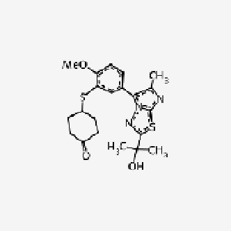 COc1ccc(-c2c(C)nc3sc(C(C)(C)O)nn23)cc1SC1CCC(=O)CC1